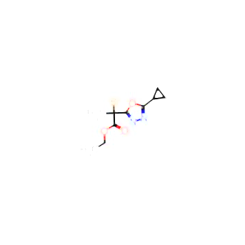 CCOC(=O)C(C)(Br)c1nnc(C2CC2)o1